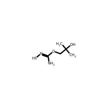 CC(C)(O)CO/C(N)=N/S